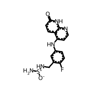 N[S+]([O-])NCc1cc(Nc2ccnc3[nH]c(=O)ccc23)ccc1F